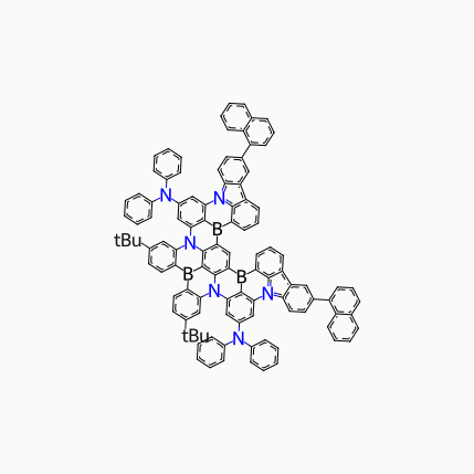 CC(C)(C)c1ccc2c(c1)N1c3cc(N(c4ccccc4)c4ccccc4)cc4c3B(c3cc5c6c(c31)B2c1ccc(C(C)(C)C)cc1N6c1cc(N(c2ccccc2)c2ccccc2)cc2c1B5c1cccc3c5cc(-c6cccc7ccccc67)ccc5n-2c13)c1cccc2c3cc(-c5cccc6ccccc56)ccc3n-4c12